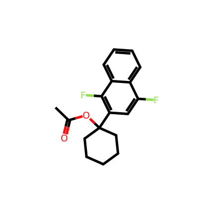 CC(=O)OC1(c2cc(F)c3ccccc3c2F)CCCCC1